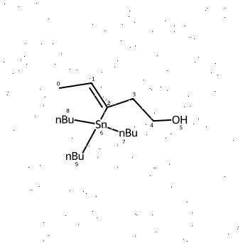 C/C=[C](/CCO)[Sn]([CH2]CCC)([CH2]CCC)[CH2]CCC